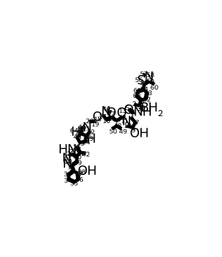 B[C@](C)(NC(=O)[C@@H]1C[C@@H](O)CN1C(=O)[C@@H](c1cc(OCCN2C[C@H]3C[C@H](c4[nH]c5nnc(-c6ccccc6O)cc5c4C)C[C@H]3C2)no1)C(C)C)c1ccc(-c2scnc2C)cc1